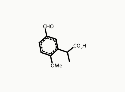 COc1ccc(C=O)cc1C(C)C(=O)O